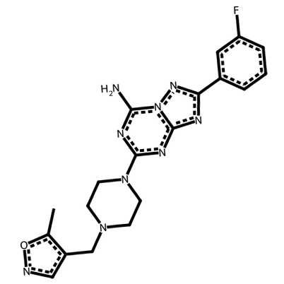 Cc1oncc1CN1CCN(c2nc(N)n3nc(-c4cccc(F)c4)nc3n2)CC1